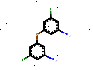 Nc1cc(F)cc(Sc2cc(N)cc(F)c2)c1